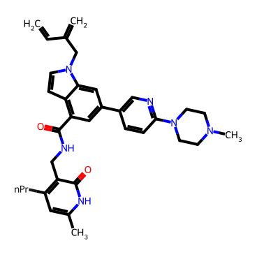 C=CC(=C)Cn1ccc2c(C(=O)NCc3c(CCC)cc(C)[nH]c3=O)cc(-c3ccc(N4CCN(C)CC4)nc3)cc21